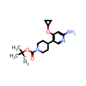 CC(C)(C)OC(=O)N1CCC(c2cnc(N)cc2OC2CC2)CC1